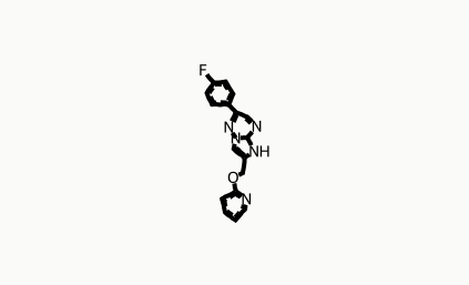 Fc1ccc(C2=NN3C=C(COc4ccccn4)NC3N=C2)cc1